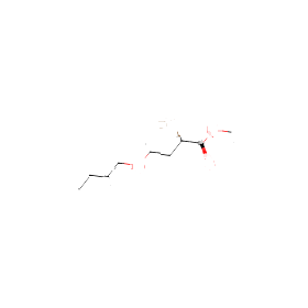 CCCCOCCC(Br)C(=O)OC